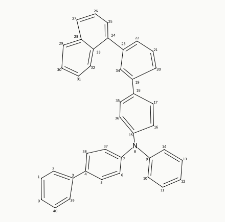 c1ccc(-c2ccc(N(c3ccccc3)c3ccc(-c4cccc(-c5cccc6ccccc56)c4)cc3)cc2)cc1